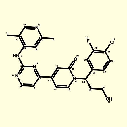 Cc1cc(Nc2nccc(-c3ccn([C@H](CCO)c4ccc(Cl)c(F)c4)c(=O)c3)n2)c(C)cn1